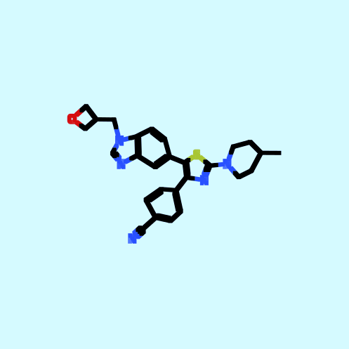 CC1CCN(c2nc(-c3ccc(C#N)cc3)c(-c3ccc4c(c3)ncn4CC3COC3)s2)CC1